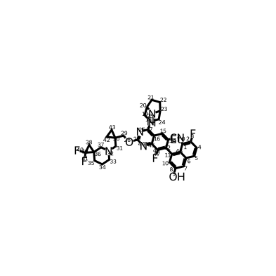 CCc1c(F)ccc2cc(O)cc(-c3c(C#N)cc4c(N5CC6CCC(C5)N6)nc(OCC5(CN6CCCC7(C6)CC7(F)F)CC5)nc4c3F)c12